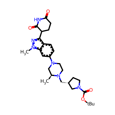 C[C@H]1CN(c2ccc3c(C4CCC(=O)NC4=O)nn(C)c3c2)CCN1C[C@@H]1CCN(C(=O)OC(C)(C)C)C1